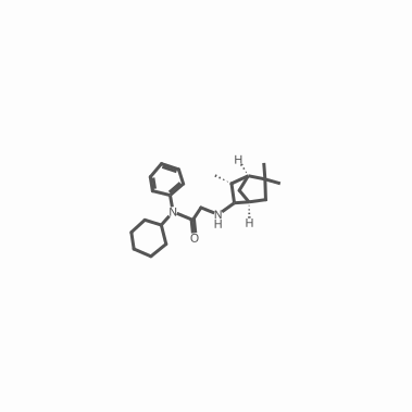 C[C@H]1C(NCC(=O)N(c2ccccc2)C2CCCCC2)[C@H]2C[C@@H]1C(C)(C)C2